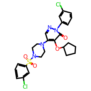 O=c1c(OC2CCCC2)c(N2CCN(S(=O)(=O)c3cccc(Cl)c3)CC2)cnn1-c1cccc(Cl)c1